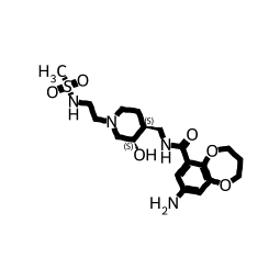 CS(=O)(=O)NCCN1CC[C@@H](CNC(=O)c2cc(N)cc3c2OCCCO3)[C@H](O)C1